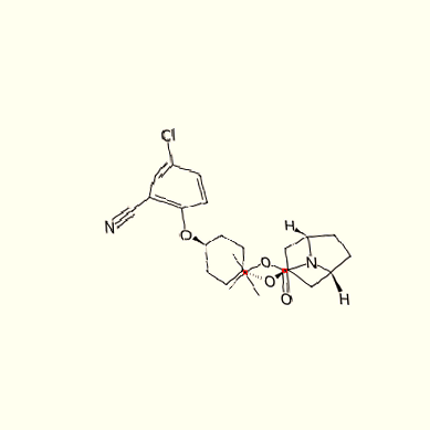 CC(C)(C)OC(=O)N1[C@@H]2CC[C@H]1C[C@H](O[C@H]1CC[C@H](Oc3ccc(Cl)cc3C#N)CC1)C2